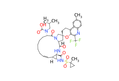 Cc1ccc2nc(C(F)(F)F)c3c(c2c1)CC[C@]1(C[C@H]2C(=O)N[C@]4(C(=O)NS(=O)(=O)C5(C)CC5)C[C@H]4/C=C\CCCCC[C@H](N(CC(C)C)C(=O)O)C(=O)N2C1)O3